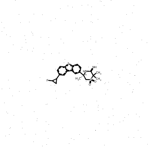 CC1(C)C(=N)N[C@](C)(c2ccc3sc4ccc(C5CC5F)cc4c3c2)CS1(=O)=O